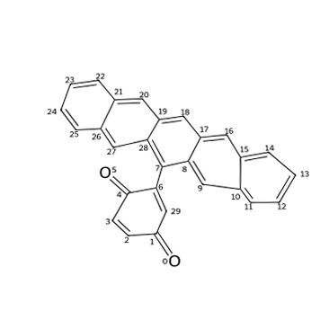 O=C1C=CC(=O)C(c2c3cc4ccccc4cc3cc3cc4ccccc4cc23)=C1